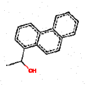 [CH2]C(O)c1cccc2c1ccc1ccccc12